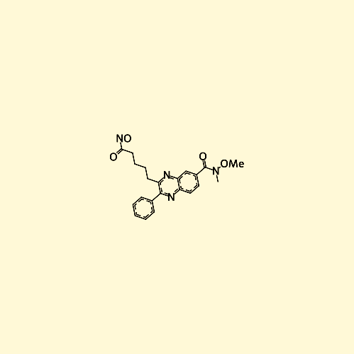 CON(C)C(=O)c1ccc2nc(-c3ccccc3)c(CCCCC(=O)N=O)nc2c1